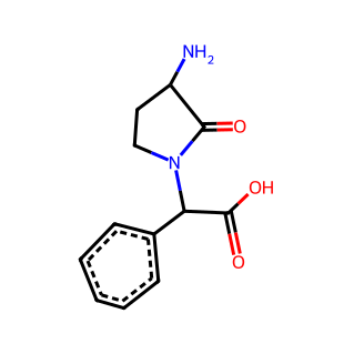 NC1CCN(C(C(=O)O)c2ccccc2)C1=O